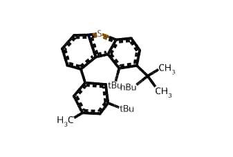 CCCCC(C)(C)c1ccc2sc3cccc(-c4cc(C)cc(C(C)(C)C)c4)c3c2c1C(C)(C)C